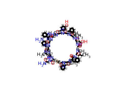 CCCC[C@H]1C(=O)N(C)CC(=O)N[C@@H](CC(=O)O)C(=O)N[C@@H](C(C)C)C(=O)N(C)[C@@H](Cc2ccccc2)C(=O)N[C@@H](Cc2ccc(O)cc2)C(=O)N(C)CC(=O)N[C@@H](Cc2c[nH]c3ccccc23)C(=O)N[C@@H](Cc2ccc(N)cc2)C(=O)N[C@@H](CC(C)C)C(=O)N[C@H](C(=O)NCC(N)=O)CSCC(=O)N[C@@H](Cc2ccccc2)C(=O)N(C)[C@H]2Cc3cccc(c3)N1C2=O